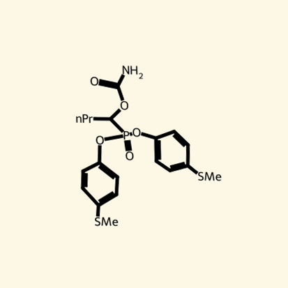 CCCC(OC(N)=O)P(=O)(Oc1ccc(SC)cc1)Oc1ccc(SC)cc1